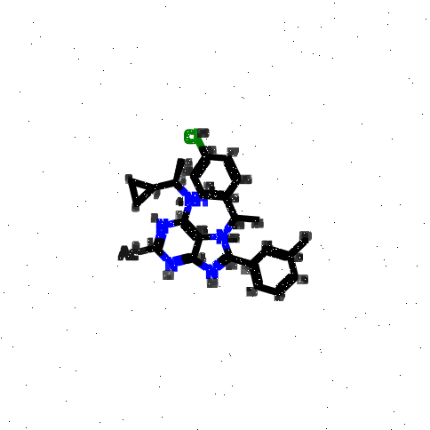 CC(=O)c1nc(N[C@H](C)C2CC2)c2c(n1)nc(-c1cccc(C)c1)n2C(C)c1ccc(Cl)cc1